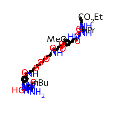 CCCCOc1nc(N)c2nc(O)n(Cc3ccc(C(=O)NCCCOCCOCCOCCCNC(=O)CCC(=O)Oc4ccc(/C=C/C(=O)NCC(=O)NC(C(=O)NCCCC(=O)OCC)C(C)C)cc4OC)cc3)c2n1